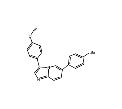 CC(C)Oc1ccc(-c2cnc3ccc(-c4ccc(C(C)(C)C)cc4)cn23)cc1